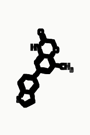 Cc1cc(-c2ccc3sccc3c2)cc2c1OCC(=O)N2